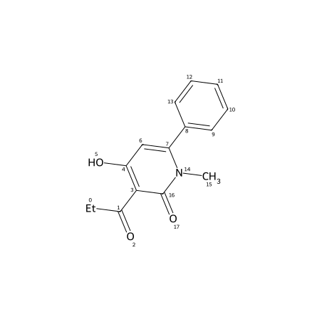 CCC(=O)c1c(O)cc(-c2ccccc2)n(C)c1=O